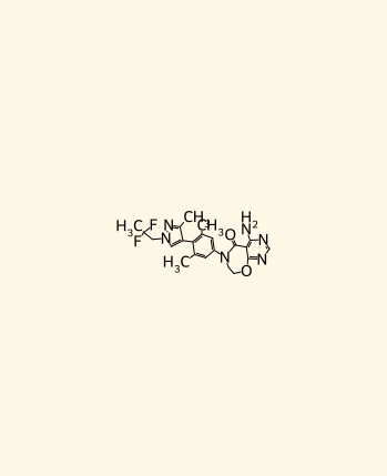 Cc1cc(N2CCOc3ncnc(N)c3C2=O)cc(C)c1-c1cn(CC(C)(F)F)nc1C